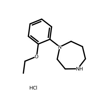 CCOc1ccccc1N1CCCNCC1.Cl